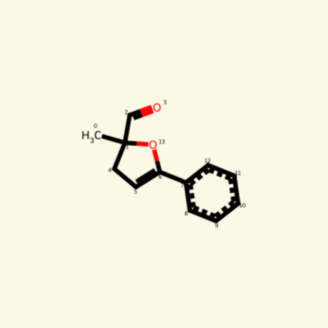 CC1(C=O)CC=C(c2ccccc2)O1